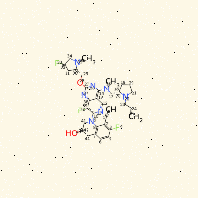 C#Cc1c(F)ccc2c1N(c1ncc3c(N(C)C[C@@H]4CCCN4CC=C)nc(OC[C@@H]4C[C@@H](F)CN4C)nc3c1F)C[C@H](O)C2